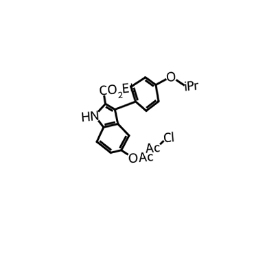 CC(=O)Cl.CCOC(=O)c1[nH]c2ccc(OC(C)=O)cc2c1-c1ccc(OC(C)C)cc1